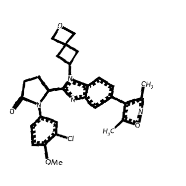 COc1ccc(N2C(=O)CCC2c2nc3cc(-c4c(C)noc4C)ccc3n2C2CC3(COC3)C2)cc1Cl